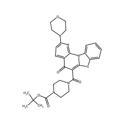 CC(C)(C)OC(=O)N1CCN(C(=O)c2c(=O)c3ccc(N4CCOCC4)nc3n3c2sc2ccccc23)CC1